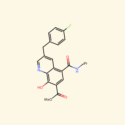 COC(=O)c1cc(C(=O)NC(C)C)c2cc(Cc3ccc(F)cc3)cnc2c1O